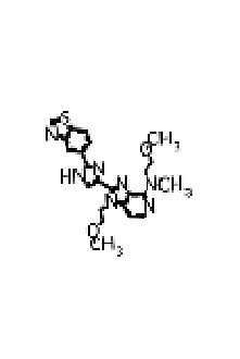 COCCN(C)c1nccc2c1nc(-c1c[nH]c(-c3ccc4scnc4c3)n1)n2CCOC